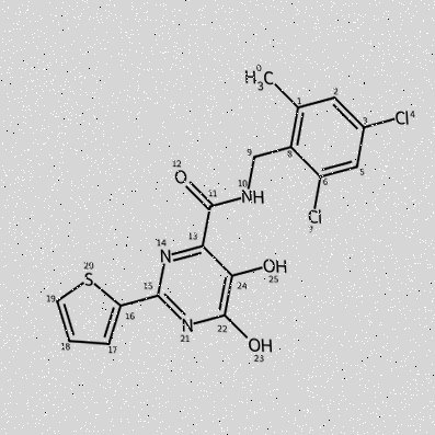 Cc1cc(Cl)cc(Cl)c1CNC(=O)c1nc(-c2cccs2)nc(O)c1O